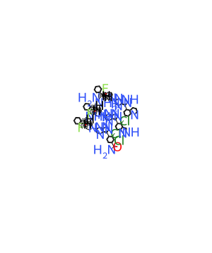 NC[C@]1(c2ccccc2F)[C@@H]2CCN(c3cnc4c(-c5ccc(C(N)=O)c(Cl)c5Cl)n[nH]c4n3)C[C@@H]21.NC[C@]1(c2ccccc2F)[C@@H]2CCN(c3cnc4c(-c5ccc6n[nH]cc6c5Cl)n[nH]c4n3)C[C@@H]21.NC[C@]1(c2ccccc2F)[C@@H]2CCN(c3cnc4c(-c5cccc6ncccc56)n[nH]c4n3)C[C@@H]21